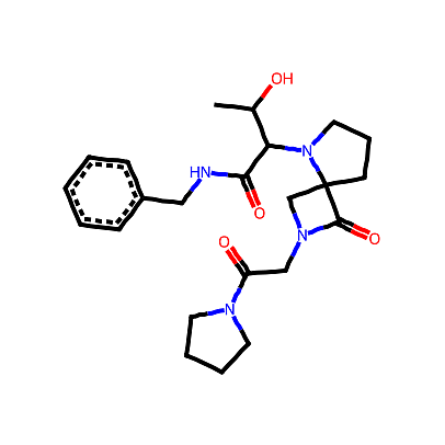 CC(O)C(C(=O)NCc1ccccc1)N1CCCC12CN(CC(=O)N1CCCC1)C2=O